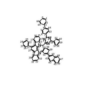 c1ccc(-c2ccc(-c3nc(Cn4c5ccccc5c5c(-c6ccccc6)cc6c7ccccc7n(-c7cccc(-c8ccc9ccccc9c8)c7)c6c54)nc(-c4ccccc4)n3)cc2)cc1